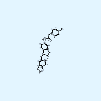 O=C(Cc1ccc(F)cc1)Nc1ccc2c(c1)CCN2Cc1cc2c(cc1Cl)OCO2